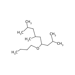 CCCCOC(CC(C)C)CC(C)CC(C)C